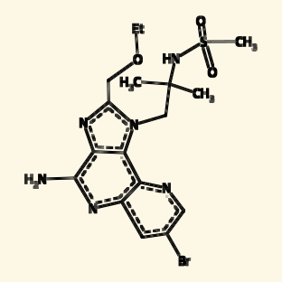 CCOCc1nc2c(N)nc3cc(Br)cnc3c2n1CC(C)(C)NS(C)(=O)=O